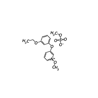 CCOc1cccc(Oc2ccc[n+](OC)c2)c1.COS(=O)(=O)[O-]